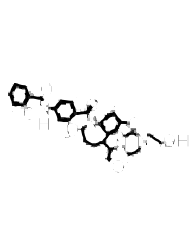 COc1cc(NC(=O)c2ccccc2Cl)ccc1C(=O)N1CCCC(C(C=O)N2CCN(CCO)CC2)c2cc(Cl)ccc21